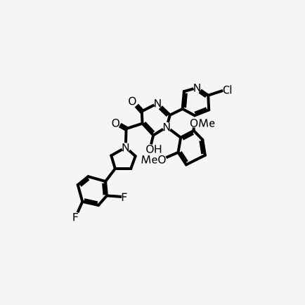 COc1cccc(OC)c1-n1c(-c2ccc(Cl)nc2)nc(=O)c(C(=O)N2CCC(c3ccc(F)cc3F)C2)c1O